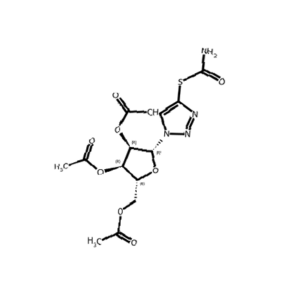 CC(=O)OC[C@H]1O[C@@H](n2cc(SC(N)=O)nn2)[C@H](OC(C)=O)[C@@H]1OC(C)=O